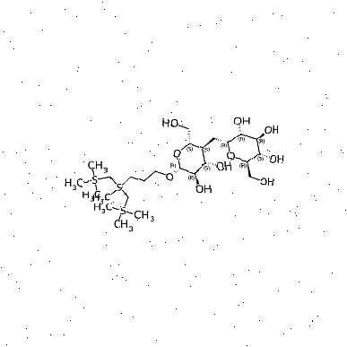 CS(C)(C)CS(C)(CCCO[C@@H]1O[C@H](CO)[C@@H](C[C@H]2O[C@H](CO)[C@@H](O)[C@H](O)[C@H]2O)[C@H](O)[C@H]1O)CS(C)(C)C